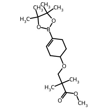 COC(=O)C(C)(C)COC1CC=C(B2OC(C)(C)C(C)(C)O2)CC1